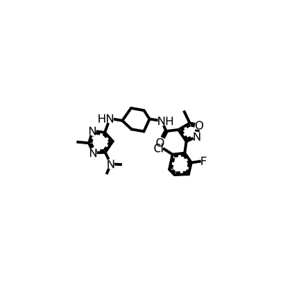 Cc1nc(NC2CCC(NC(=O)c3c(-c4c(F)cccc4Cl)noc3C)CC2)cc(N(C)C)n1